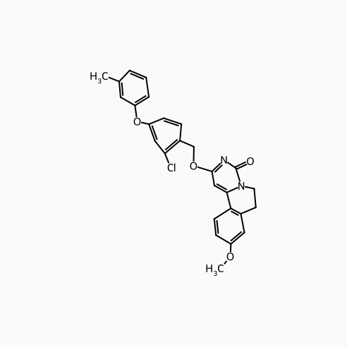 COc1ccc2c(c1)CCn1c-2cc(OCc2ccc(Oc3cccc(C)c3)cc2Cl)nc1=O